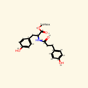 CCCCCCOC(=O)C(Cc1ccc(O)cc1)NC(=O)CCc1ccc(O)cc1